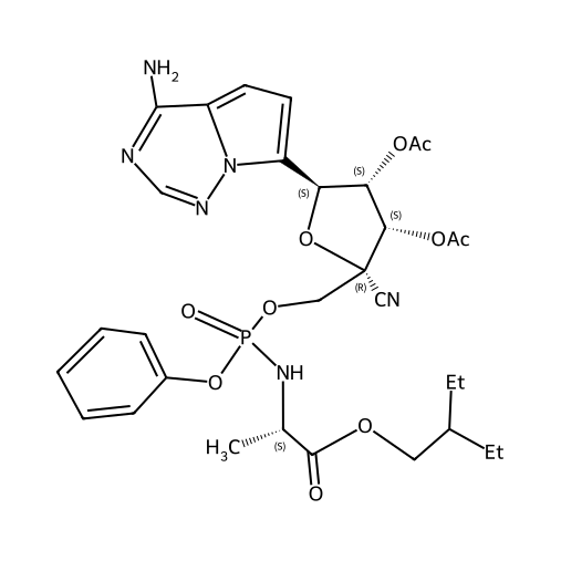 CCC(CC)COC(=O)[C@H](C)NP(=O)(OC[C@@]1(C#N)O[C@@H](c2ccc3c(N)ncnn23)[C@H](OC(C)=O)[C@@H]1OC(C)=O)Oc1ccccc1